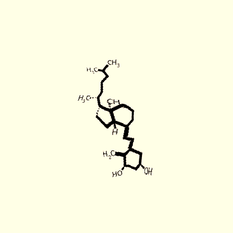 C=C1/C(=C\C=C2/CCC[C@]3(C)[C@@H]([C@H](C)CCCC(C)C)CC[C@@H]23)C[C@@H](O)C[C@H]1O